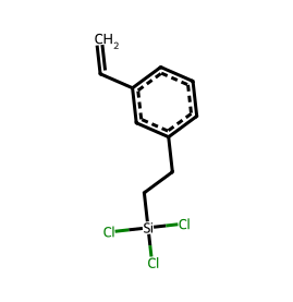 C=Cc1cccc(CC[Si](Cl)(Cl)Cl)c1